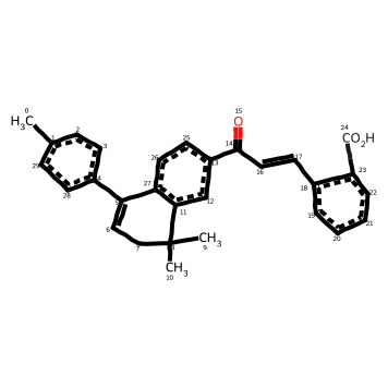 Cc1ccc(C2=CCC(C)(C)c3cc(C(=O)/C=C/c4ccccc4C(=O)O)ccc32)cc1